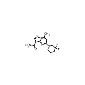 Cc1cc(N2CCCC(F)(F)C2)nc2c(C(N)=O)cnn12